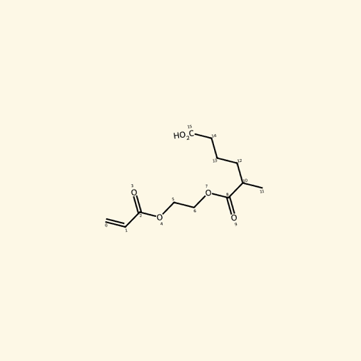 C=CC(=O)OCCOC(=O)C(C)CCCC(=O)O